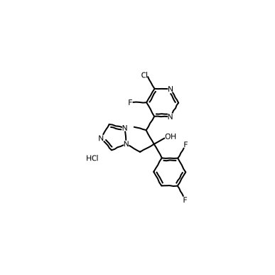 CC(c1ncnc(Cl)c1F)C(O)(Cn1cncn1)c1ccc(F)cc1F.Cl